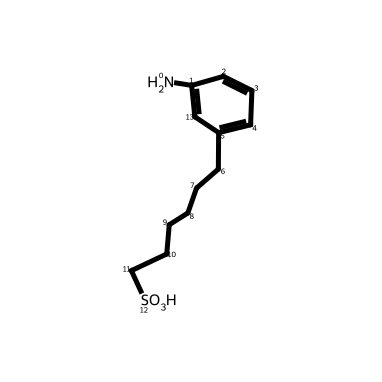 Nc1cccc(CCCCCCS(=O)(=O)O)c1